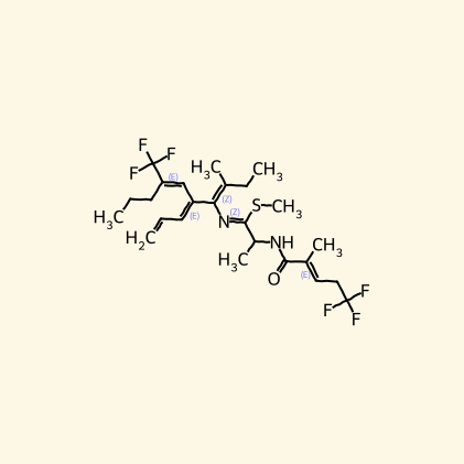 C=C/C=C(\C=C(/CCC)C(F)(F)F)C(/N=C(\SC)C(C)NC(=O)/C(C)=C/CC(F)(F)F)=C(\C)CC